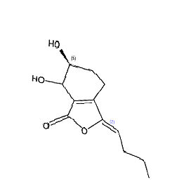 CCC/C=C1\OC(=O)C2=C1CC[C@H](O)C2O